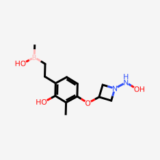 CB(O)CCc1ccc(OC2CN(NO)C2)c(C)c1O